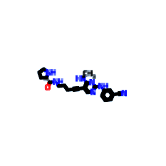 CNc1nc(Nc2cccc(C#N)c2)ncc1C#CCCCNC(=O)[C@@H]1CCCN1